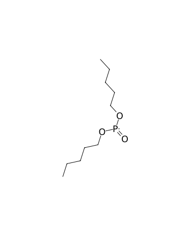 CCCCCO[P](=O)OCCCCC